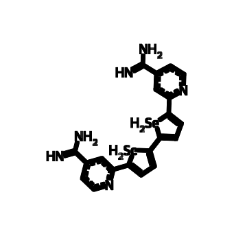 N=C(N)c1ccnc(C2=CC=C(C3=CC=C(c4cc(C(=N)N)ccn4)[SeH2]3)[SeH2]2)c1